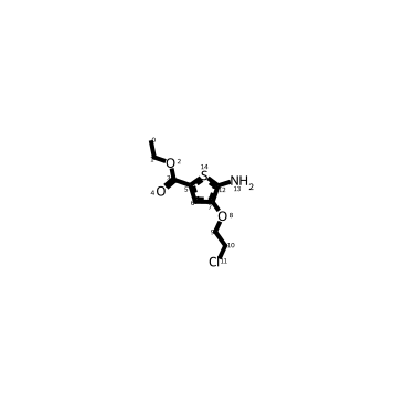 CCOC(=O)c1cc(OCCCl)c(N)s1